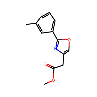 COC(=O)Cc1coc(-c2cccc(C)c2)n1